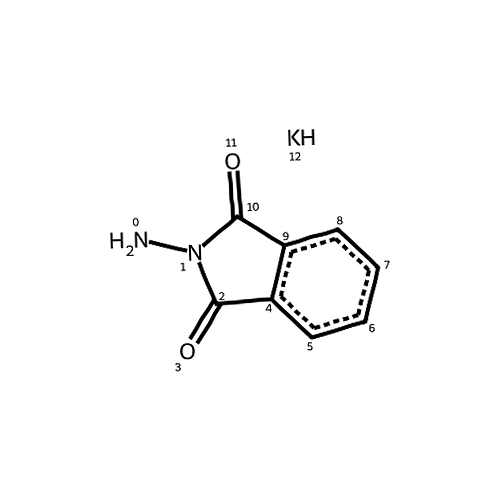 NN1C(=O)c2ccccc2C1=O.[KH]